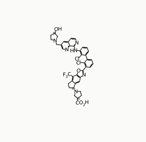 O=C(O)[C@@H]1CCN([C@@H]2CCc3c2cc2nc(-c4cccc(-c5cccc(Nc6nccc7cc(CN8CC[C@@H](O)C8)cnc67)c5Cl)c4Cl)oc2c3C(F)(F)F)C1